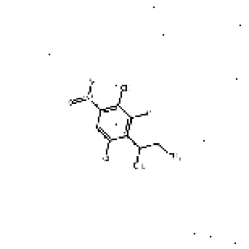 CCC(C)c1c(Cl)cc([N+](=O)[O-])c(O)c1Cl